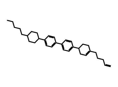 C=CCCCC1=CCC(c2ccc(-c3ccc(C4CCC(CCCCC)CC4)cc3)cc2)CC1